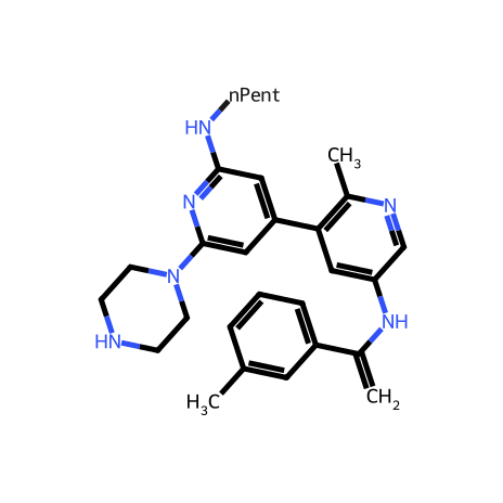 C=C(Nc1cnc(C)c(-c2cc(NCCCCC)nc(N3CCNCC3)c2)c1)c1cccc(C)c1